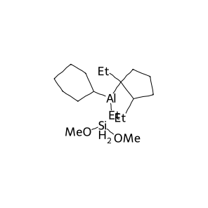 CCC1CCC[C]1(CC)[Al]([CH2]C)[CH]1CCCCC1.CO[SiH2]OC